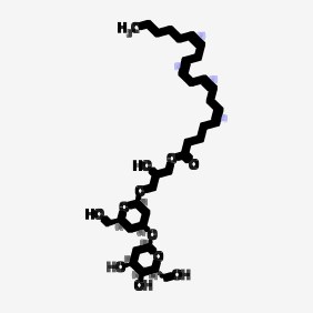 CCCCC/C=C\C/C=C\C/C=C\C/C=C\CCCC(=O)OCC(O)CO[C@H]1C[C@@H](O[C@H]2C[C@@H](O)[C@H](O)[C@@H](CO)O2)C[C@@H](CO)O1